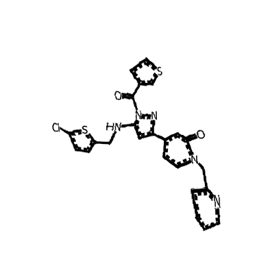 O=C(c1ccsc1)n1nc(-c2ccn(Cc3ccccn3)c(=O)c2)cc1NCc1ccc(Cl)s1